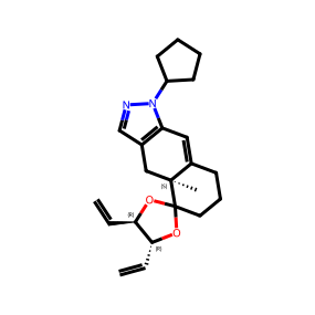 C=C[C@H]1OC2(CCCC3=Cc4c(cnn4C4CCCC4)C[C@@]32C)O[C@@H]1C=C